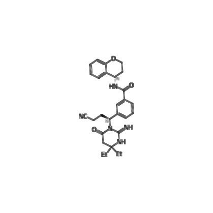 CCC1(CC)CC(=O)N([C@@H](CCC#N)c2cccc(C(=O)N[C@H]3CCOc4ccccc43)c2)C(=N)N1